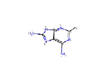 Cc1nc(N)c2nc(N)[nH]c2n1